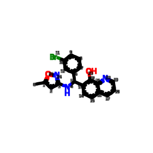 Cc1cc(NC(c2cccc(Br)c2)c2ccc3cccnc3c2O)no1